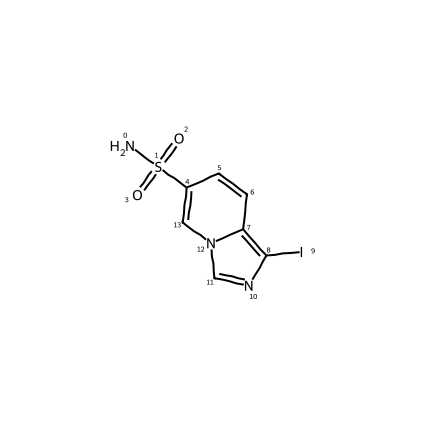 NS(=O)(=O)c1ccc2c(I)ncn2c1